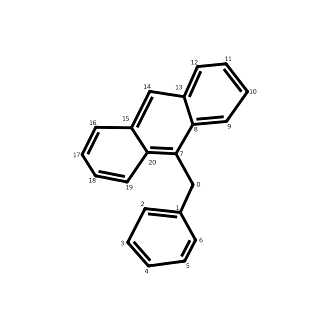 [CH](c1ccccc1)c1c2ccccc2cc2ccccc12